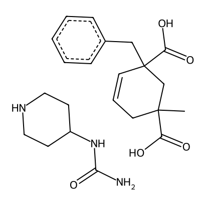 CC1(C(=O)O)CC=CC(Cc2ccccc2)(C(=O)O)C1.NC(=O)NC1CCNCC1